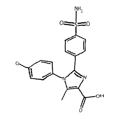 Cc1c(C(=O)O)nc(-c2ccc(S(N)(=O)=O)cc2)n1-c1ccc(Cl)cc1